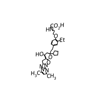 CCc1cc(CCC2(C3CCCC3)CC(O)=C(Cc3nc4nc(C)cc(C)n4n3)C(=O)O2)ccc1OCCNC(=O)O